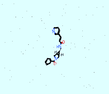 O=C(/C=C/c1cccnc1)NC[C@@H]1[C@H]2CN(C(=O)c3ccccc3)C[C@@H]12